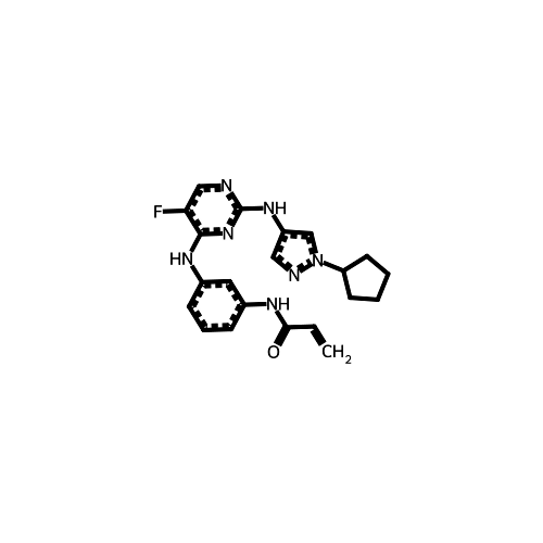 C=CC(=O)Nc1cccc(Nc2nc(Nc3cnn(C4CCCC4)c3)ncc2F)c1